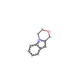 [c]1c2n(c3ccccc13)CCOC2